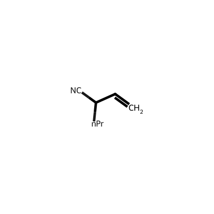 C=CC(C#N)CCC